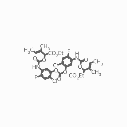 CC=C(C)C(OC(=O)Nc1cc(OC(=O)Oc2cc(NC(=O)OC(C(=O)OCC)C(C)=CC)c(F)cc2Cl)c(Cl)cc1F)C(=O)OCC